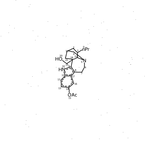 CCCC1CC2CN3CCc4c([nH]c5ccc(OC(C)=O)cc45)C(CO)(C2)C13